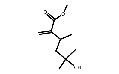 C=C(C(=O)OC)C(C)CC(C)(C)O